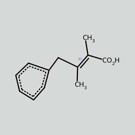 C/C(Cc1ccccc1)=C(/C)C(=O)O